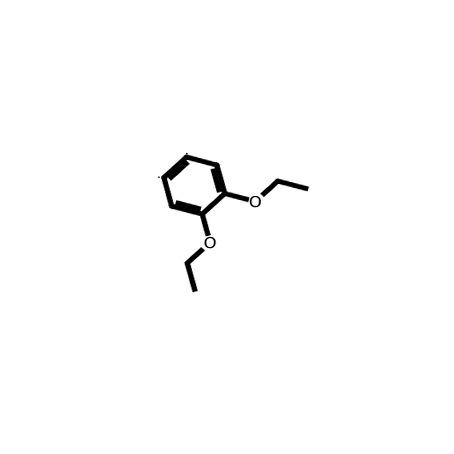 CCOc1c[c][c]cc1OCC